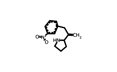 C=C(Cc1cccc([N+](=O)[O-])c1)C1CCCN1